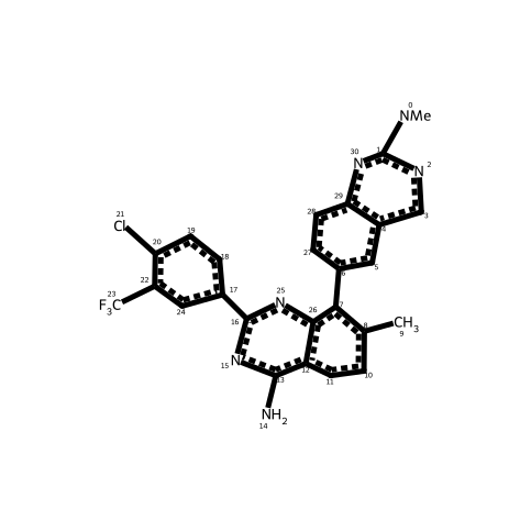 CNc1ncc2cc(-c3c(C)ccc4c(N)nc(-c5ccc(Cl)c(C(F)(F)F)c5)nc34)ccc2n1